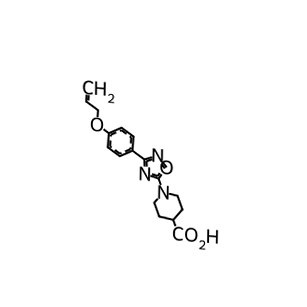 C=CCOc1ccc(-c2noc(N3CCC(C(=O)O)CC3)n2)cc1